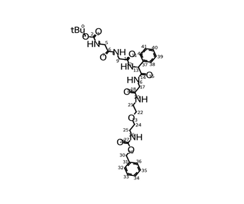 CC(C)(C)OC(=O)NCC(=O)NCC(=O)N[C@H](C(=O)NCC(=O)NCCOCCNC(=O)OCc1ccccc1)c1ccccc1